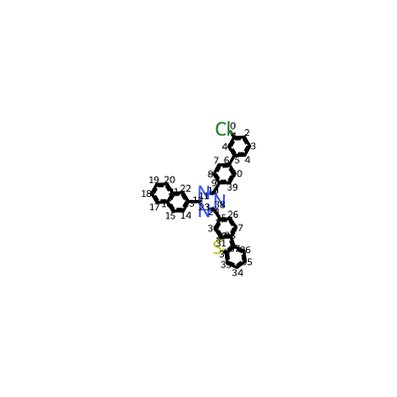 Clc1cccc(-c2ccc(-c3nc(-c4ccc5ccccc5c4)nc(-c4ccc5c(c4)sc4ccccc45)n3)cc2)c1